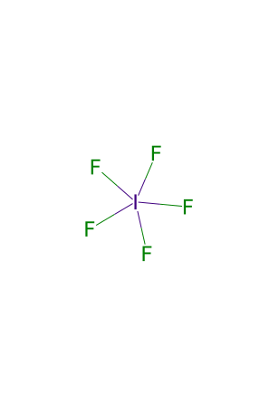 FI(F)(F)(F)F